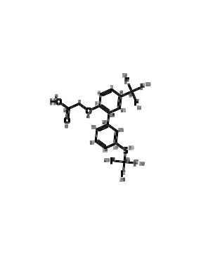 O=C(O)COc1ccc(C(F)(F)F)cc1-c1cccc(SC(F)(F)F)c1